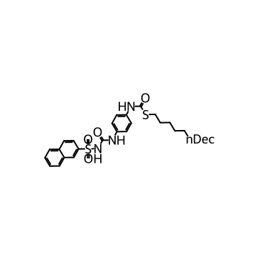 CCCCCCCCCCCCCCCSC(=O)Nc1ccc(NC(=O)NS(=O)(=O)c2ccc3ccccc3c2)cc1